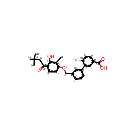 Cc1c(OCc2cccc(-c3cc(C(=O)O)ccc3F)c2)ccc(C(=O)CC(C)(C)C)c1O